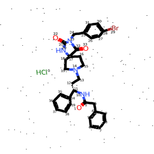 Cl.O=C(Cc1ccccc1)N[C@@H](CCN1CCC2(CC1)NC(=O)N(Cc1ccc(Br)cc1)C2=O)c1ccccc1